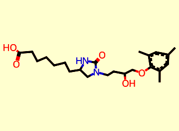 Cc1cc(C)c(OCC(O)CCN2CC(CCCCCCC(=O)O)NC2=O)c(C)c1